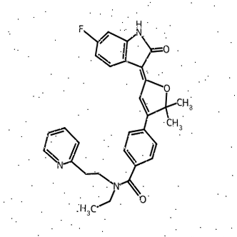 CCN(CCc1ccccn1)C(=O)c1ccc(C2=CC(=C3C(=O)Nc4cc(F)ccc43)OC2(C)C)cc1